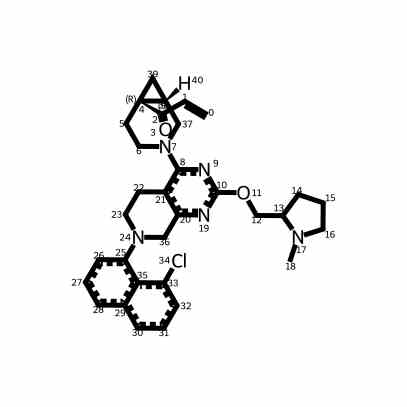 C=CC(=O)[C@]12CCN(c3nc(OCC4CCCN4C)nc4c3CCN(c3cccc5cccc(Cl)c35)C4)C[C@H]1C2